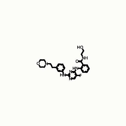 O=C(NCCO)c1ccccc1Nc1nc(Nc2cccc(CCN3CCOCC3)c2)ncc1F